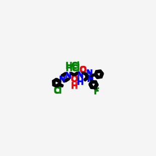 Cc1c(Cl)cccc1N1CCN(CC(O)CNC(=O)c2nc(-c3ccccc3)n(-c3ccc(F)cc3)c2C)CC1.Cl.Cl